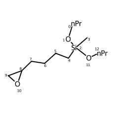 CCCO[Si](C)(CCCCC1CO1)OCCC